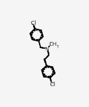 CN(CCc1ccc(Cl)cc1)Cc1ccc(Cl)cc1